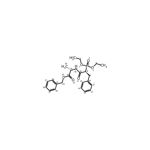 CCOP(=O)(OCC)[C@@H](Cc1ccccc1)C(=O)N[C@@H](C)C(=O)OCc1ccccc1